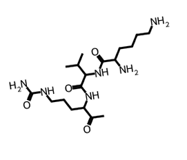 CC(=O)C(CCCNC(N)=O)NC(=O)C(NC(=O)C(N)CCCCN)C(C)C